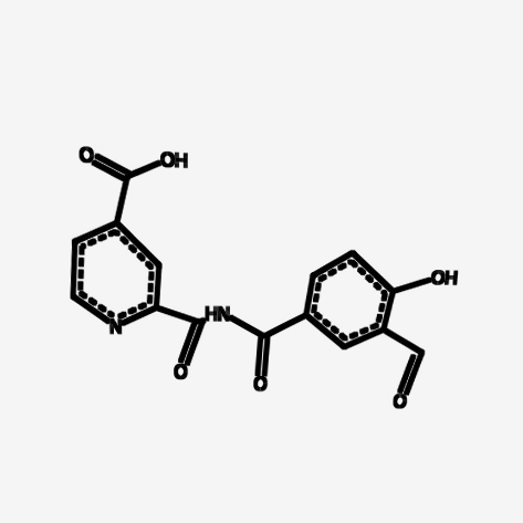 O=Cc1cc(C(=O)NC(=O)c2cc(C(=O)O)ccn2)ccc1O